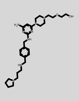 Nc1cc(N2CCN(CCOCCO)CC2)nc(NCc2ccc(CNCCCN3CCCC3)cc2)n1